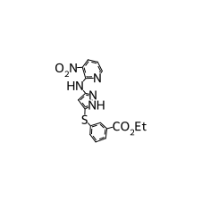 CCOC(=O)c1cccc(Sc2cc(Nc3ncccc3[N+](=O)[O-])n[nH]2)c1